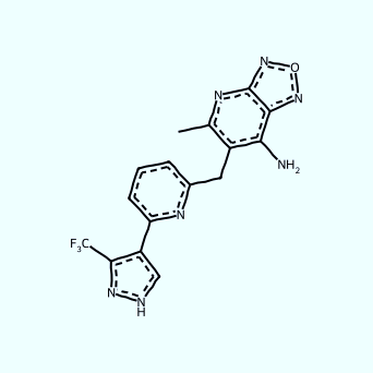 Cc1nc2nonc2c(N)c1Cc1cccc(-c2c[nH]nc2C(F)(F)F)n1